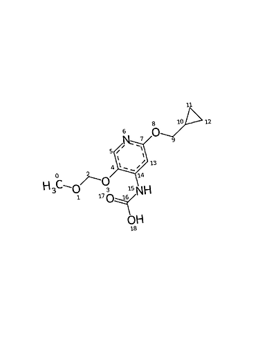 COCOc1cnc(OCC2CC2)cc1NC(=O)O